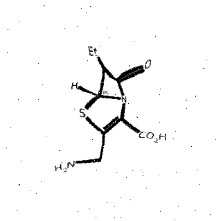 CCC1C(=O)N2C(C(=O)O)=C(CN)S[C@H]12